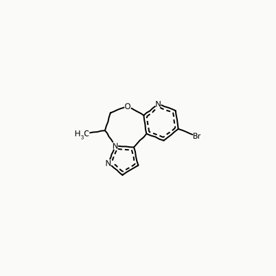 CC1COc2ncc(Br)cc2-c2ccnn21